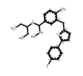 CCC(CO)OC(PO)c1ccc(C)c(Cc2ccc(-c3ccc(F)cc3)s2)c1